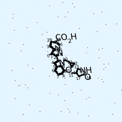 Cc1c(-c2cc3cccc(OCC4CNC(=O)C4)c3n2CC2CC2)nn2cc(C(=O)O)ccc12